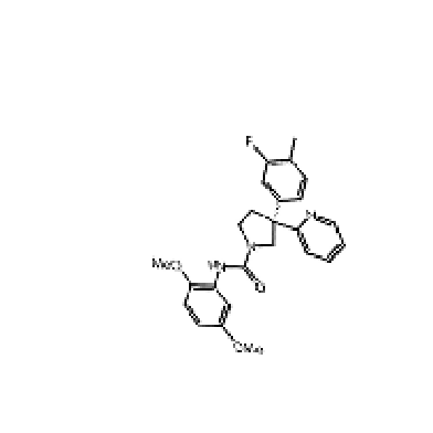 COc1ccc(OC)c(NC(=O)N2CC[C@@](c3ccc(C)c(F)c3)(c3ccccn3)C2)c1